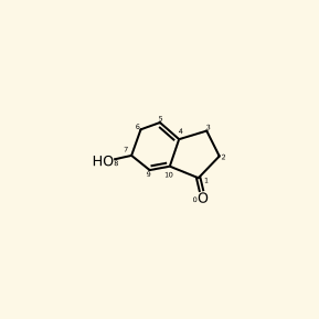 O=C1CCC2=CCC(O)C=C12